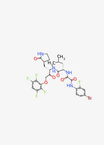 CC(C)C[C@H](NC(=O)C(=O)Nc1ccc(Br)cc1F)C(=O)N[C@@H](C[C@@H]1CCNC1=O)C(=O)COc1c(F)c(F)cc(F)c1F